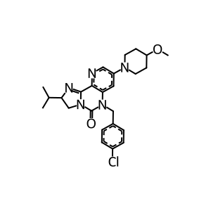 COC1CCN(c2cnc3c(c2)N(Cc2ccc(Cl)cc2)C(=O)N2CC(C(C)C)N=C32)CC1